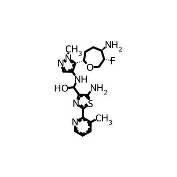 Cc1cccnc1-c1nc(C(O)Nc2cnn(C)c2[C@@H]2CC[C@@H](N)[C@H](F)CO2)c(N)s1